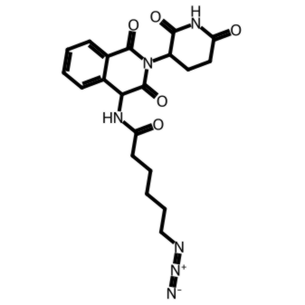 [N-]=[N+]=NCCCCCC(=O)NC1C(=O)N(C2CCC(=O)NC2=O)C(=O)c2ccccc21